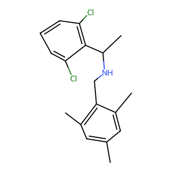 Cc1cc(C)c(CNC(C)c2c(Cl)cccc2Cl)c(C)c1